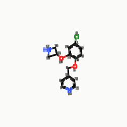 Clc1ccc(OCc2ccncc2)c(OC2CNC2)c1